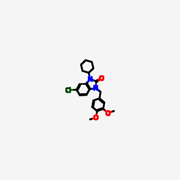 COc1ccc(Cn2c(=O)n(C3CCCCC3)c3cc(Cl)ccc32)cc1OC